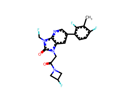 Cc1c(F)ccc(-c2cnc3c(c2)n(CC(=O)N2CC(F)C2)c(=O)n3CF)c1F